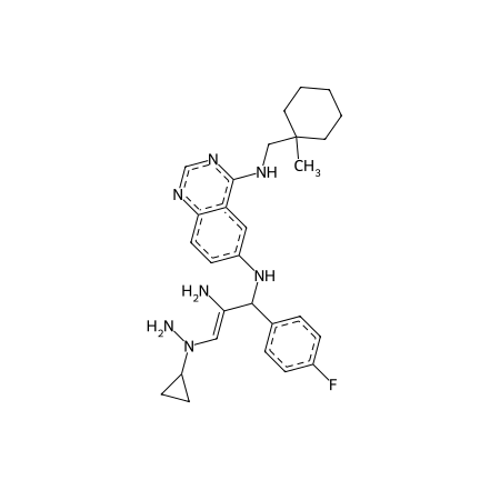 CC1(CNc2ncnc3ccc(NC(/C(N)=C/N(N)C4CC4)c4ccc(F)cc4)cc23)CCCCC1